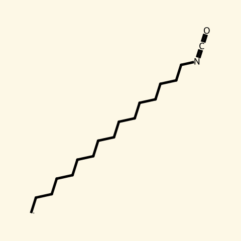 [CH2]CCCCCCCCCCCCCCCN=C=O